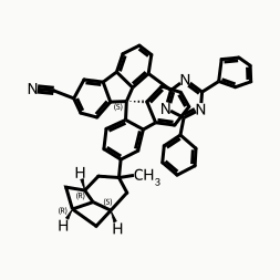 CC1(c2ccc3c(c2)-c2ccccc2[C@@]32c3ccc(C#N)cc3-c3cccc(-c4nc(-c5ccccc5)nc(-c5ccccc5)n4)c32)C[C@H]2C[C@H]3C[C@@H](C1)C32